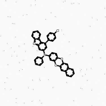 Clc1ccc(-c2cc(N(c3ccccc3)c3ccc4c(c3)Oc3cc5ccccc5cc3O4)cc3oc4ccccc4c23)cc1